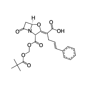 CC(C)(C)C(=O)OCOC(=O)C1C(=C(CC=Cc2ccccc2)C(=O)O)O[C@@H]2CC(=O)N12